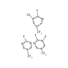 Fc1cc(C(F)(F)F)cnc1F.Fc1ccc(C(F)(F)F)cn1.Fc1ncc(C(F)(F)F)cc1Cl